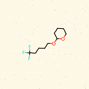 FC(F)(F)CCCCOC1CCCCO1